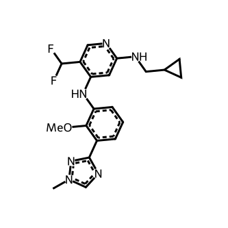 COc1c(Nc2cc(NCC3CC3)ncc2C(F)F)cccc1-c1ncn(C)n1